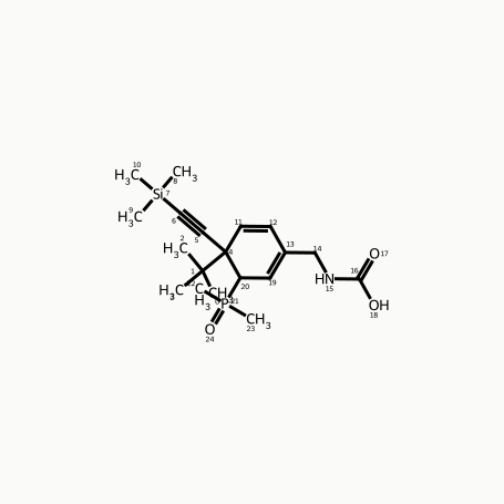 CC(C)(C)C1(C#C[Si](C)(C)C)C=CC(CNC(=O)O)=CC1P(C)(C)=O